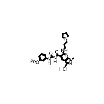 Cc1nn(C)c2nc(NCCCN3CCCC3)c(C(=O)NC(=O)Nc3cccc(OC(C)C)c3)cc12.Cl